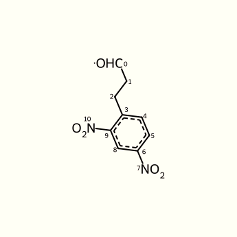 O=[C]CCc1ccc([N+](=O)[O-])cc1[N+](=O)[O-]